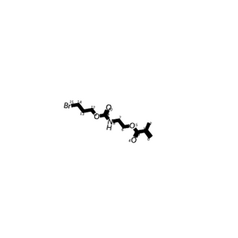 C=C(C)C(=O)OCCNC(=O)OCCCBr